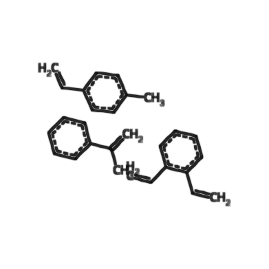 C=C(C)c1ccccc1.C=Cc1ccc(C)cc1.C=Cc1ccccc1C=C